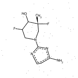 C[C@@]1(F)CN(c2nccc(N)n2)CC(F)C1O